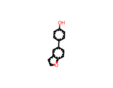 Oc1ccc(-c2ccc3occc3c2)cc1